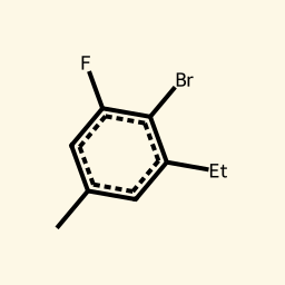 CCc1cc(C)cc(F)c1Br